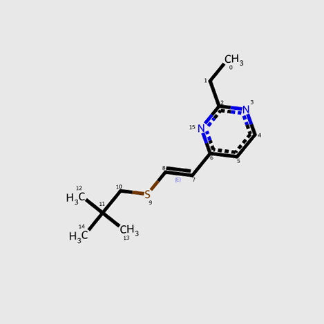 CCc1nccc(/C=C/SCC(C)(C)C)n1